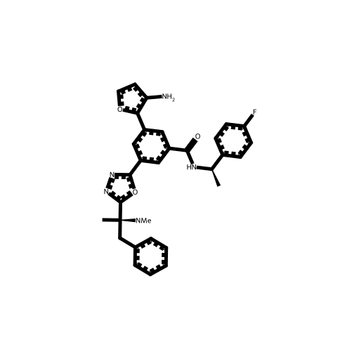 CN[C@](C)(Cc1ccccc1)c1nnc(-c2cc(C(=O)N[C@H](C)c3ccc(F)cc3)cc(-c3occc3N)c2)o1